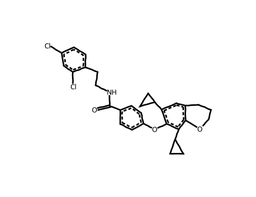 O=C(NCCc1ccc(Cl)cc1Cl)c1ccc(Oc2c(C3CC3)cc3c(c2C2CC2)OCCC3)cc1